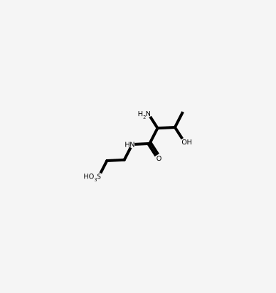 CC(O)C(N)C(=O)NCCS(=O)(=O)O